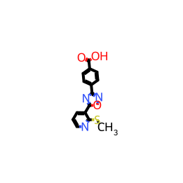 CSc1ncccc1-c1nc(-c2ccc(C(=O)O)cc2)no1